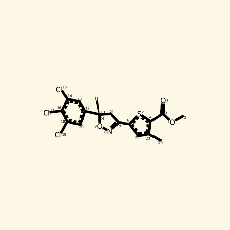 COC(=O)c1sc(C2=NO[C@](C)(c3cc(Cl)c(Cl)c(Cl)c3)C2)cc1C